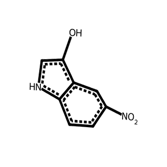 O=[N+]([O-])c1ccc2[nH]cc(O)c2c1